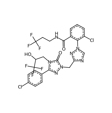 O=C(NCCC(F)(F)F)c1cccc(Cl)c1-n1cnc(Cn2nc(-c3ccc(Cl)cc3)n(CC(O)C(F)(F)F)c2=O)n1